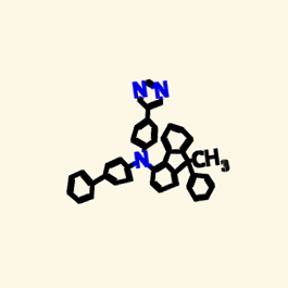 CC1(c2ccccc2)c2ccccc2-c2c(N(c3ccc(-c4ccccc4)cc3)c3ccc(-c4cncnc4)cc3)cccc21